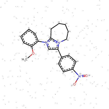 COc1ccccc1-n1cc(-c2ccc([N+](=O)[O-])cc2)[n+]2c1CCCCC2